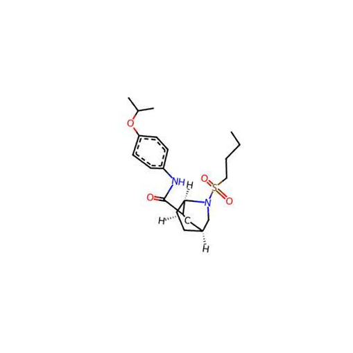 CCCCS(=O)(=O)N1C[C@H]2CC[C@@H]1[C@H](C(=O)Nc1ccc(OC(C)C)cc1)C2